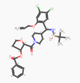 C=CCOc1cc(Cl)c(Cl)cc1C(N[S@@+]([O-])C(C)(C)C)C1CCN(C(=O)C2OCCC2OC(=O)c2ccccc2)CC1